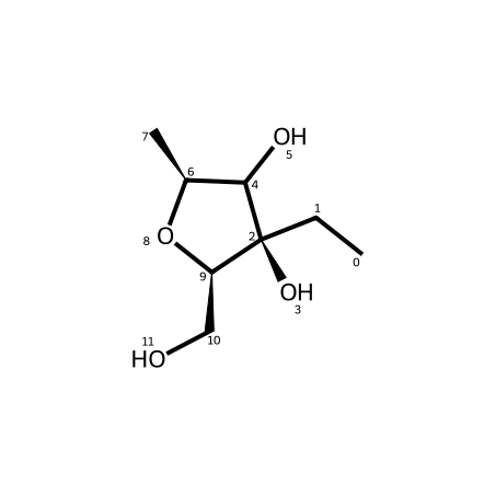 CC[C@@]1(O)C(O)[C@H](C)O[C@@H]1CO